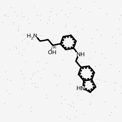 NCC[C@@H](O)c1cccc(NCc2ccc3cc[nH]c3c2)c1